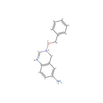 Nc1ccc2c(c1)CN(OCc1ccccc1)C=N2